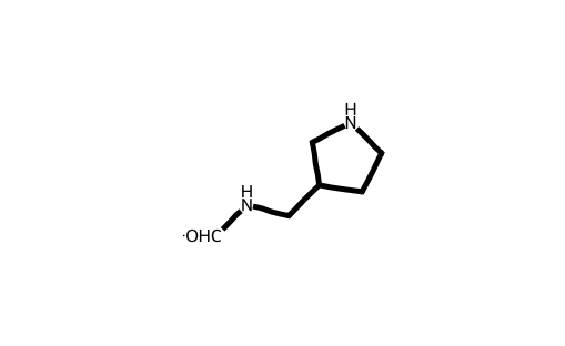 O=[C]NCC1CCNC1